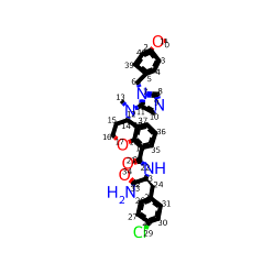 COc1ccc(Cn2cncc2N(C)C2CCOc3c(C(=O)N[C@@H](Cc4ccc(Cl)cc4)C(N)=O)cccc32)cc1